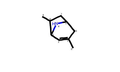 CC1=CC2NC(C1)CC2C